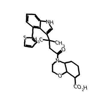 CC(C)(CC(=O)N1CCOC2C(C(=O)O)CCCC21)c1c[nH]c2cccc(-c3cccs3)c12